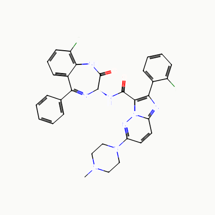 CN1CCN(c2ccc3nc(-c4ccccc4F)c(C(=O)N[C@H]4N=C(c5ccccc5)c5cccc(F)c5NC4=O)n3n2)CC1